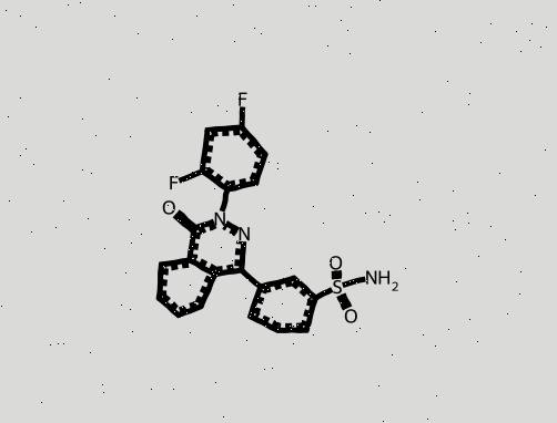 NS(=O)(=O)c1cccc(-c2nn(-c3ccc(F)cc3F)c(=O)c3ccccc23)c1